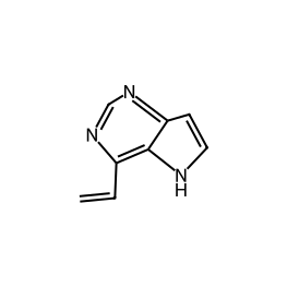 C=Cc1ncnc2cc[nH]c12